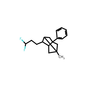 CC12CC3C(CCC(F)F)C1CC3(c1ccccc1)C2